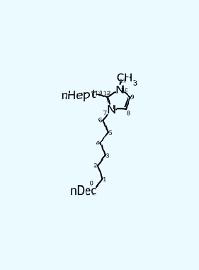 CCCCCCCCCCCCCCCCN1C=CN(C)C1CCCCCCC